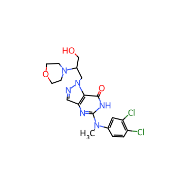 CN(c1ccc(Cl)c(Cl)c1)c1nc2cnn(CC(CO)N3CCOCC3)c2c(=O)[nH]1